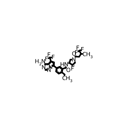 CCc1ccc(-c2cc(C(F)(F)F)c3c(N)ncnn23)cc1C(=O)N[C@@H]1CN(C(=O)CC(C)C(F)(F)F)C[C@@H]1F